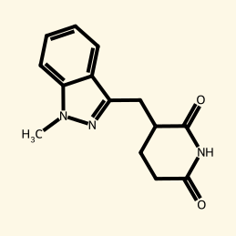 Cn1nc(CC2CCC(=O)NC2=O)c2ccccc21